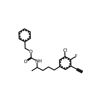 C#Cc1cc(CCCC(C)NC(=O)OCc2ccccc2)cc(Cl)c1F